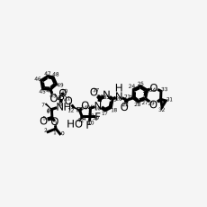 CC(C)OC(=O)[C@@H](C)NP(=O)(OC[C@H]1OC(n2ccc(NC(=O)c3ccc4c(c3)OC3(CC3)CO4)nc2=O)C(F)(F)[C@@H]1O)Oc1ccccc1